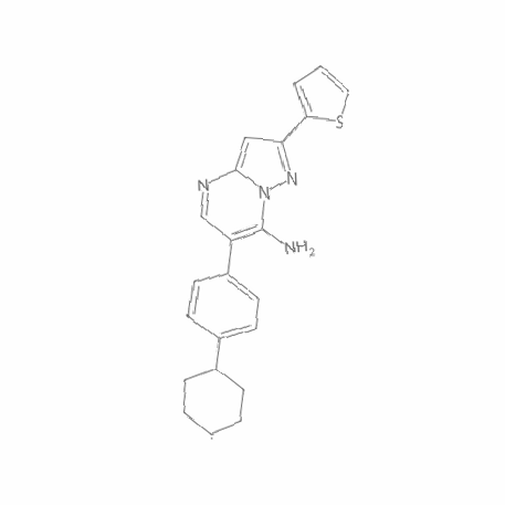 Nc1c(-c2ccc(C3CC[CH]CC3)cc2)cnc2cc(-c3cccs3)nn12